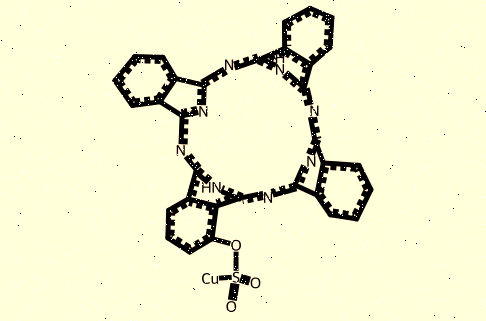 O=[S](=O)([Cu])Oc1cccc2c3nc4nc(nc5[nH]c(nc6nc(nc([nH]3)c12)-c1ccccc1-6)c1ccccc51)-c1ccccc1-4